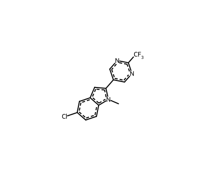 Cn1c(-c2cnc(C(F)(F)F)nc2)cc2cc(Cl)ccc21